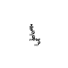 CC(C)n1nc(N2CC(C(=O)N3CCC(CO)C3)C2)c2cnc(Nc3ccnc(-c4cnn(S(=O)(=O)C5CC5)c4)n3)cc21